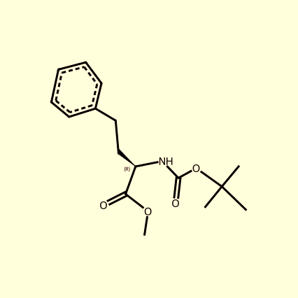 COC(=O)[C@@H](CCc1ccccc1)NC(=O)OC(C)(C)C